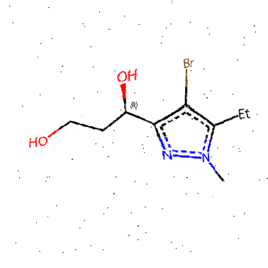 CCc1c(Br)c([C@H](O)CCO)nn1C